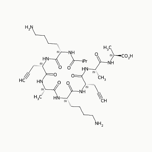 C#CC[C@H](NC(=O)[C@H](CCCCN)NC(=O)C(C)C)C(=O)N[C@@H](C)C(=O)N[C@@H](CCCCN)C(=O)N[C@@H](CC#C)C(=O)N[C@@H](C)C(=O)N[C@@H](C)C(=O)O